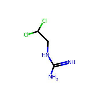 N=C(N)NCC(Cl)Cl